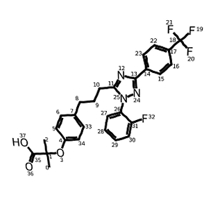 CC(C)(Oc1ccc(CCCc2nc(-c3ccc(C(F)(F)F)cc3)nn2-c2ccccc2F)cc1)C(=O)O